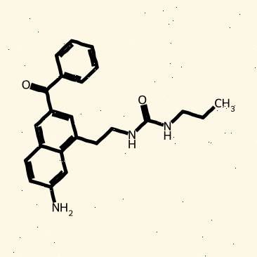 CCCNC(=O)NCCc1cc(C(=O)c2ccccc2)cc2ccc(N)cc12